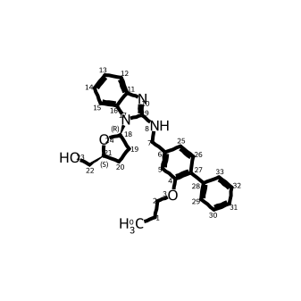 CCCOc1cc(CNc2nc3ccccc3n2[C@H]2CC[C@@H](CO)O2)ccc1-c1ccccc1